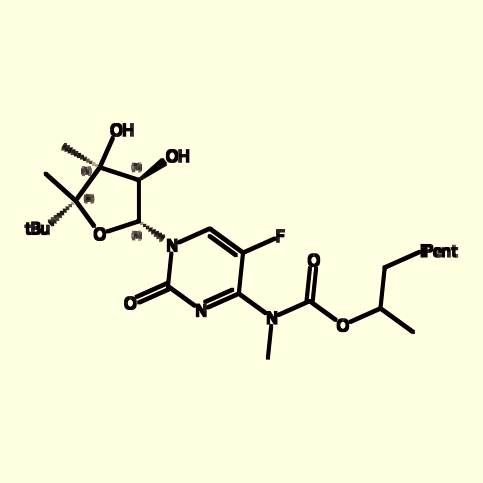 CCCC(C)CC(C)OC(=O)N(C)c1nc(=O)n([C@@H]2O[C@](C)(C(C)(C)C)[C@@](C)(O)[C@H]2O)cc1F